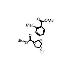 COC(=O)c1ccc([C@@H]2C[C@H](Cl)CN2C(=O)OC(C)(C)C)cc1OC